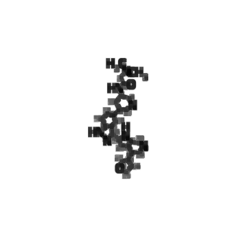 CN(C)CC(=O)Nc1cncc(-c2ccc3[nH]nc(-c4cc5c(-c6ccoc6)cncc5[nH]4)c3c2)c1